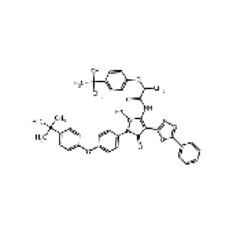 CC(Oc1ccc(C(C)(C)C)cc1)C(=O)Nc1c(-c2nnc(-c3ccccc3)o2)c(=O)n(-c2ccc(Oc3ccc(C(C)(C)C)cc3)cc2)n1S